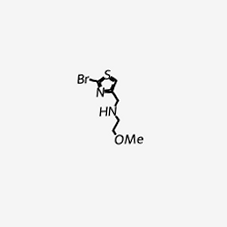 COCCNCc1csc(Br)n1